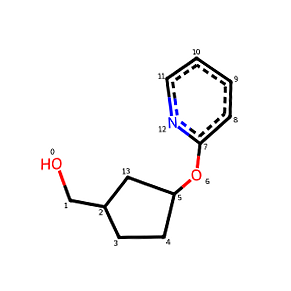 OCC1CCC(Oc2ccccn2)C1